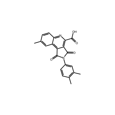 Cc1ccc2nc(C(=O)O)c3c(c2c1)C(=O)N(c1ccc(C)c(C)c1)C3=O